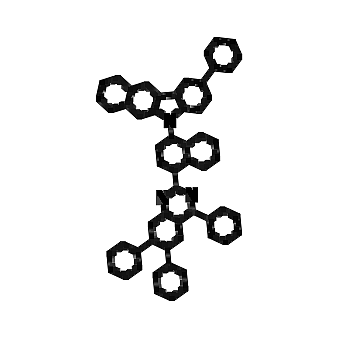 c1ccc(-c2ccc3c(c2)c2cc4ccccc4cc2n3-c2ccc(-c3nc(-c4ccccc4)c4cc(-c5ccccc5)c(-c5ccccc5)cc4n3)c3ccccc23)cc1